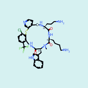 CN1C(=O)[C@H](CCCCN)NC(=O)[C@H](CCCN)NCc2ccncc2Sc2c(Cl)ccc(C(F)(F)F)c2CNC(=O)[C@@H]1Cc1c[nH]c2ccccc12